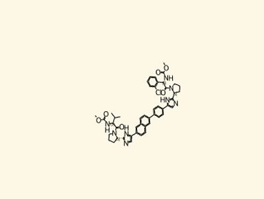 COC(=O)N[C@H](C(=O)N1CCC[C@H]1c1ncc(-c2ccc(-c3ccc4cc(-c5cnc([C@@H]6CCCN6C(=O)[C@@H](NC(=O)OC)C(C)C)[nH]5)ccc4c3)cc2)[nH]1)c1ccccc1Cl